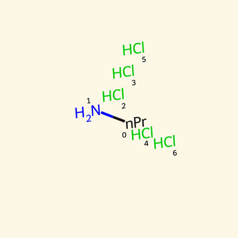 CCCN.Cl.Cl.Cl.Cl.Cl